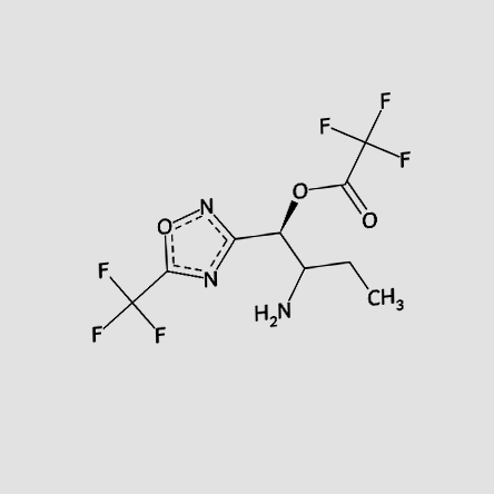 CCC(N)[C@H](OC(=O)C(F)(F)F)c1noc(C(F)(F)F)n1